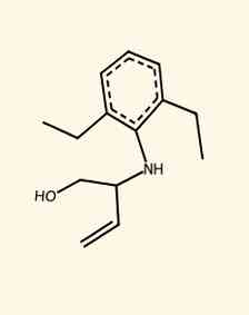 C=CC(CO)Nc1c(CC)cccc1CC